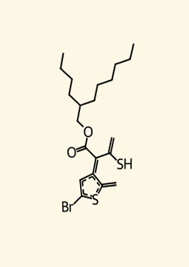 C=C(S)/C(C(=O)OCC(CCCC)CCCCCC)=c1/cc(Br)sc1=C